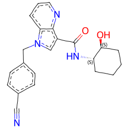 N#Cc1ccc(Cn2cc(C(=O)N[C@H]3CCCC[C@@H]3O)c3ncccc32)cc1